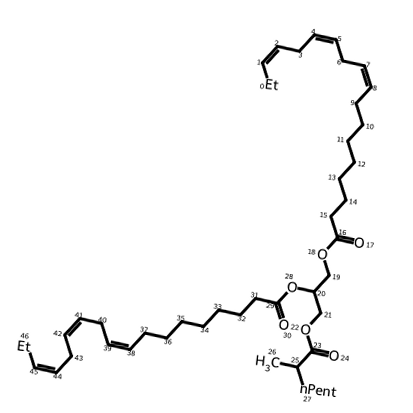 CC/C=C\C/C=C\C/C=C\CCCCCCCC(=O)OCC(COC(=O)C(C)CCCCC)OC(=O)CCCCCCC/C=C\C/C=C\C/C=C\CC